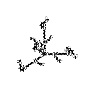 [C-]#[N+]CCOP(OCCCCCCO[C@@H]1OC(COC(C)=O)[C@H](C)[C@H](C)C1C)OCCCOCC(COCCCOP(OCCCCCCO[C@@H]1OC(COC(C)=O)[C@H](C)[C@H](C)C1C)OCC[N+]#[C-])(COCCCOP(OCCCCCCO[C@@H]1OC(COC(C)=O)[C@H](C)[C@H](C)C1NC(C)=O)OCC[N+]#[C-])COP(=O)(OCCC#N)OC[C@H]1O[C@@H](C)C[C@@H]1OP(C)(=O)OCC[N+]#[C-]